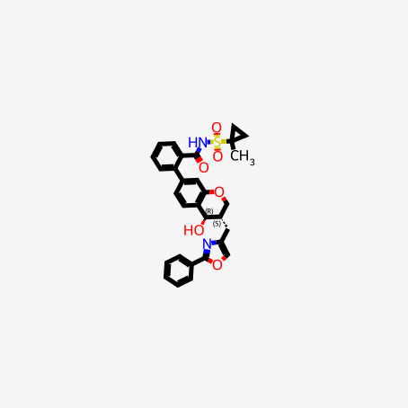 CC1(S(=O)(=O)NC(=O)c2ccccc2-c2ccc3c(c2)OC[C@H](Cc2coc(-c4ccccc4)n2)[C@H]3O)CC1